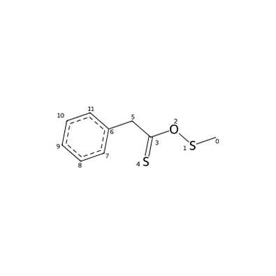 CSOC(=S)Cc1ccccc1